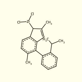 CC1=Cc2c(ccc(C)c2-c2ccccc2C(C)C)[CH]1[Zr]([Cl])[Cl]